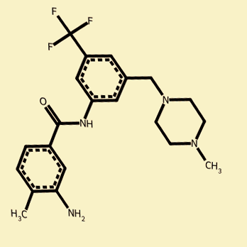 Cc1ccc(C(=O)Nc2cc(CN3CCN(C)CC3)cc(C(F)(F)F)c2)cc1N